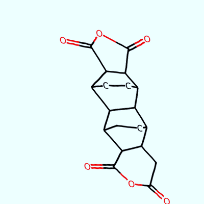 O=C1CC2C3CCC(C2C(=O)O1)C1C2CCC(C4C(=O)OC(=O)C24)C31